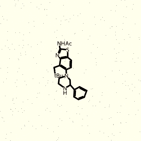 CC(=O)Nc1nc2c(CC(C)(C)C)c(N3CCNC(c4ccccc4)C3)ccc2s1